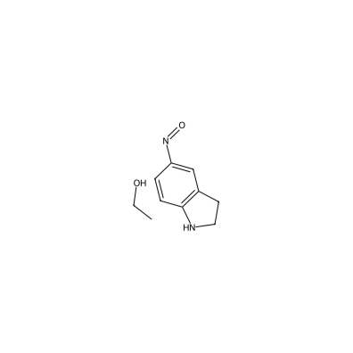 CCO.O=Nc1ccc2c(c1)CCN2